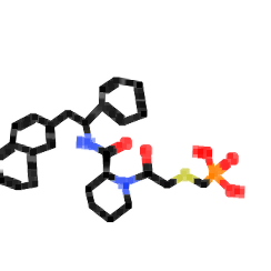 O=C(NC(Cc1ccc2ccccc2c1)c1ccccc1)[C@@H]1CCCCN1C(=O)CSCP(=O)(O)O